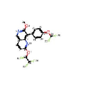 COc1ncc2ccc(OC(F)C(F)F)nc2c1-c1ccc(OC(F)F)cc1